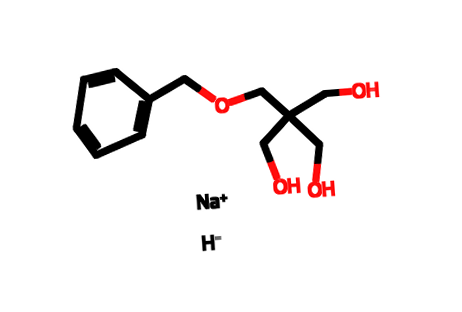 OCC(CO)(CO)COCc1ccccc1.[H-].[Na+]